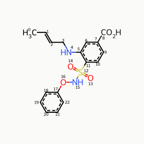 C/C=C/CNc1cc(C(=O)O)ccc1S(=O)(=O)NOc1ccccc1